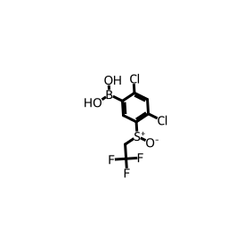 [O-][S+](CC(F)(F)F)c1cc(B(O)O)c(Cl)cc1Cl